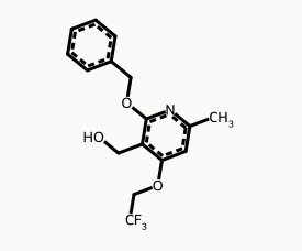 Cc1cc(OCC(F)(F)F)c(CO)c(OCc2ccccc2)n1